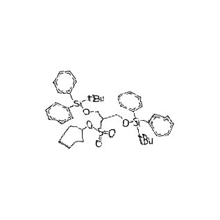 CC(C)(C)[Si](OCC(CO[Si](c1ccccc1)(c1ccccc1)C(C)(C)C)S(=O)(=O)OC1CCCC1)(c1ccccc1)c1ccccc1